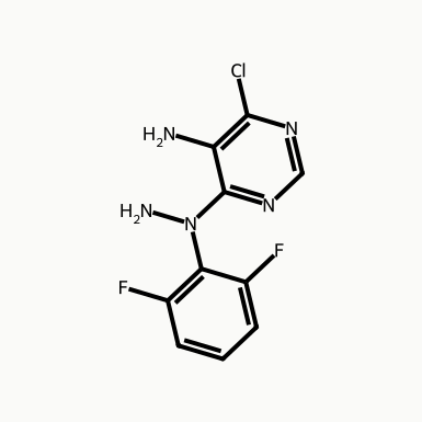 Nc1c(Cl)ncnc1N(N)c1c(F)cccc1F